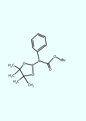 CC(C)(C)OC(=O)N(B1OC(C)(C)C(C)(C)O1)c1ccccc1